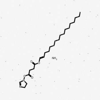 CCCCCCCCCCCCCCCC=COC(=O)CCC(=O)ON1C=NCC1.N